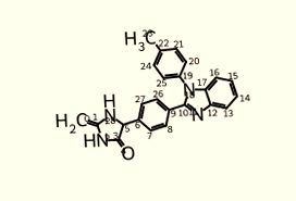 C=C1NC(=O)C(c2ccc(-c3nc4ccccc4n3-c3ccc(C)cc3)cc2)N1